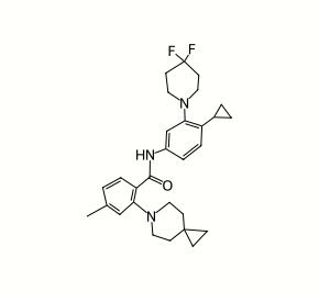 Cc1ccc(C(=O)Nc2ccc(C3CC3)c(N3CCC(F)(F)CC3)c2)c(N2CCC3(CC2)CC3)c1